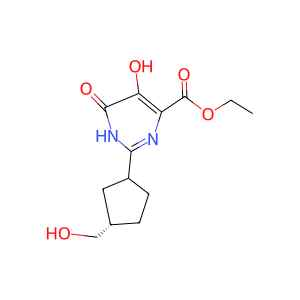 CCOC(=O)c1nc(C2CC[C@H](CO)C2)[nH]c(=O)c1O